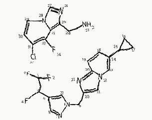 FC(F)C(F)c1cnn(Cc2cn3cc(C4CC4)ccc3n2)c1.NCc1ncn2ccc(Cl)c(F)c12